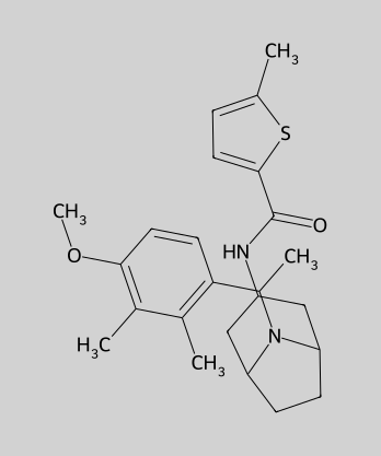 COc1ccc(C(C)N2C3CCC2CC(NC(=O)c2ccc(C)s2)C3)c(C)c1C